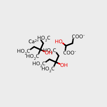 O=C(O)CC(O)(CC(=O)O)C(=O)O.O=C(O)CC(O)(CC(=O)O)C(=O)O.O=C([O-])CC(O)C(=O)[O-].[Ca+2]